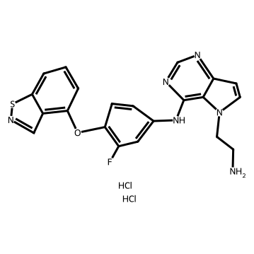 Cl.Cl.NCCn1ccc2ncnc(Nc3ccc(Oc4cccc5sncc45)c(F)c3)c21